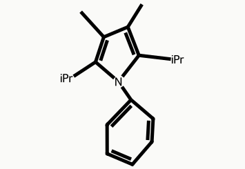 Cc1c(C)c(C(C)C)n(-c2ccccc2)c1C(C)C